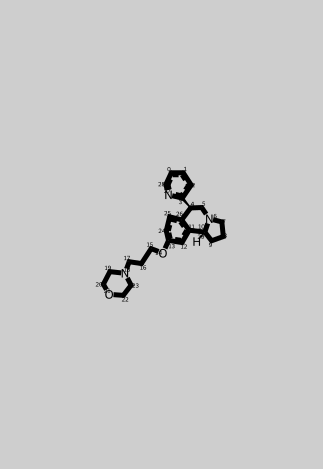 c1ccc([C@H]2CN3CCC[C@H]3c3cc(OCCCN4CCOCC4)ccc32)nc1